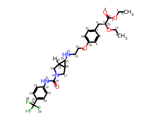 CCOC(=O)[C@H](Cc1ccc(OCCN[C@H]2C3CN(C(=O)Nc4ccc(C(F)(F)F)cc4)C[C@@H]32)cc1)OCC